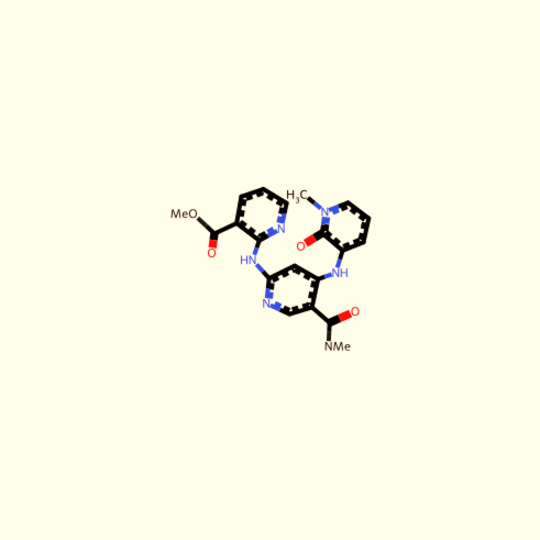 CNC(=O)c1cnc(Nc2ncccc2C(=O)OC)cc1Nc1cccn(C)c1=O